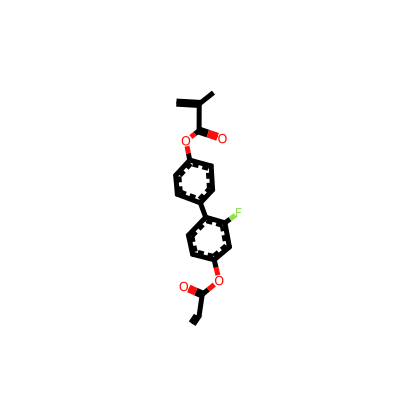 C=CC(=O)Oc1ccc(-c2ccc(OC(=O)C(=C)C)cc2)c(F)c1